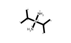 CC(C)[Si](N)(N)C(C)C